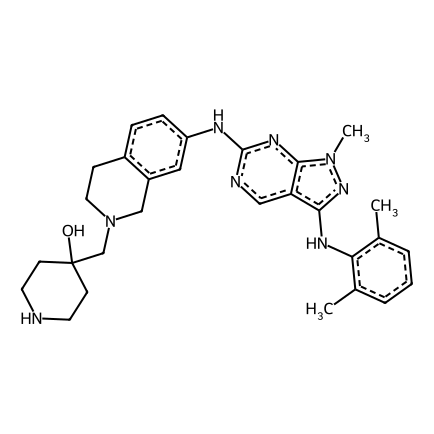 Cc1cccc(C)c1Nc1nn(C)c2nc(Nc3ccc4c(c3)CN(CC3(O)CCNCC3)CC4)ncc12